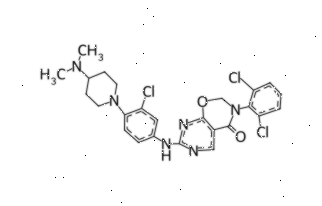 CN(C)C1CCN(c2ccc(Nc3ncc4c(n3)OCN(c3c(Cl)cccc3Cl)C4=O)cc2Cl)CC1